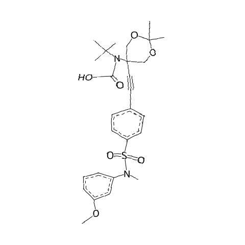 COc1cccc(N(C)S(=O)(=O)c2ccc(C#CC3(N(C(=O)O)C(C)(C)C)COC(C)(C)OC3)cc2)c1